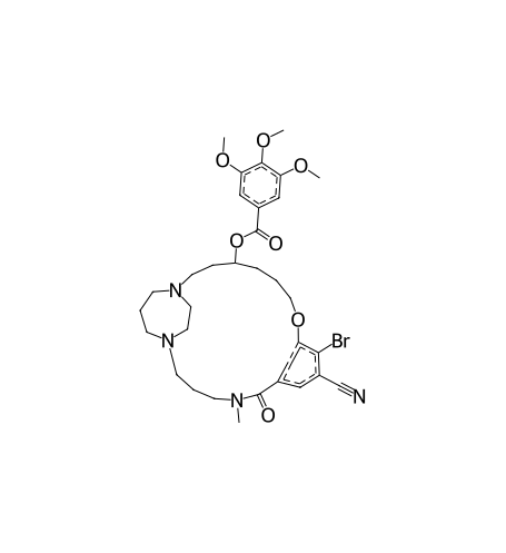 COc1cc(C(=O)OC2CCCOc3cc(cc(C#N)c3Br)C(=O)N(C)CCCN3CCCN(CC2)CC3)cc(OC)c1OC